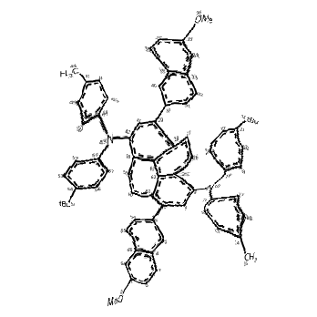 COc1ccc2cc(-c3cc(N(c4ccc(C)cc4)c4ccc(C(C)(C)C)cc4)c4ccc5c(-c6ccc7cc(OC)ccc7c6)cc(N(c6ccc(C)cc6)c6ccc(C(C)(C)C)cc6)c6ccc3c4c56)ccc2c1